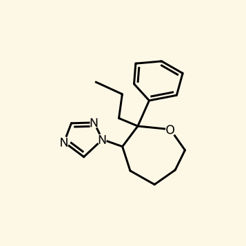 CCCC1(c2ccccc2)OCCCCC1n1cncn1